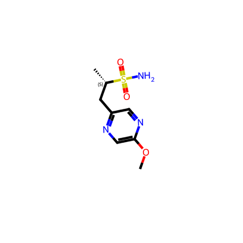 COc1cnc(C[C@H](C)S(N)(=O)=O)cn1